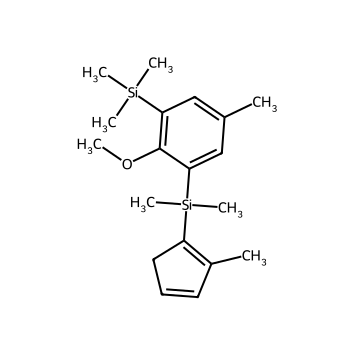 COc1c([Si](C)(C)C)cc(C)cc1[Si](C)(C)C1=C(C)C=CC1